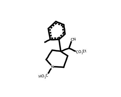 CCOC(=O)C(C#N)C1(c2ccccc2C)CCN(C(=O)O)CC1